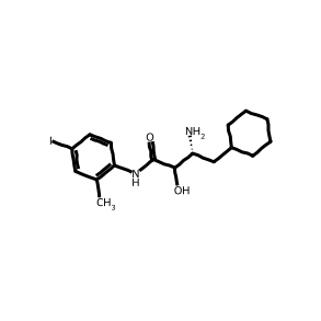 Cc1cc(I)ccc1NC(=O)C(O)[C@H](N)CC1CCCCC1